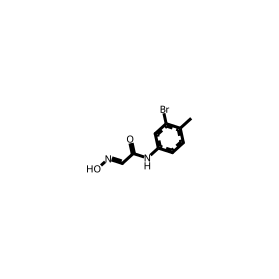 Cc1ccc(NC(=O)C=NO)cc1Br